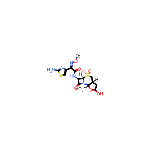 CCO/N=C(\C(=O)N[C@@H]1C(=O)N2[C@@H]1S(=O)(=O)C[C@@H]1CC(O)O[C@@]12C(=O)O)c1csc(N)n1